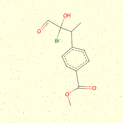 COC(=O)c1ccc(C(C)C(O)(Br)C=O)cc1